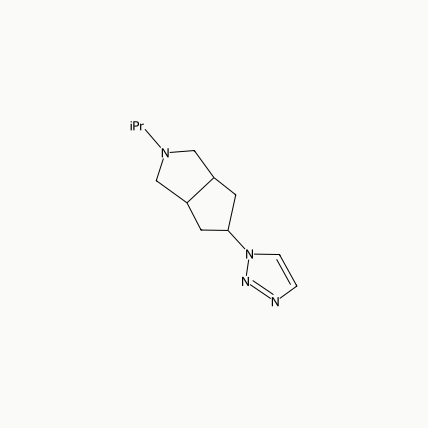 CC(C)N1CC2CC(n3ccnn3)CC2C1